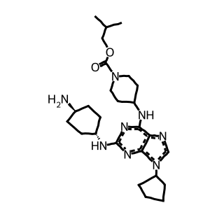 CC(C)COC(=O)N1CCC(Nc2nc(N[C@H]3CC[C@H](N)CC3)nc3c2ncn3C2CCCC2)CC1